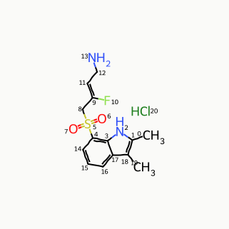 Cc1[nH]c2c(S(=O)(=O)C/C(F)=C/CN)cccc2c1C.Cl